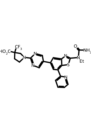 CCN(C(N)=O)c1nc2cc(-c3cnc(N4CCC(C(=O)O)(C(F)(F)F)C4)nc3)cc(-c3ccccn3)c2s1